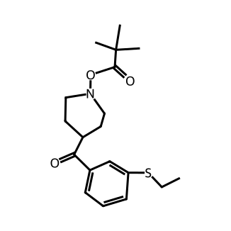 CCSc1cccc(C(=O)C2CCN(OC(=O)C(C)(C)C)CC2)c1